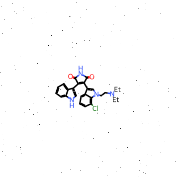 CCN(CC)CCn1cc(C2=C(c3c[nH]c4ccccc34)C(=O)NC2=O)c2cccc(Cl)c21